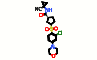 N#CC1(NC(=O)[C@@H]2CC[C@@H](S(=O)(=O)c3ccc(N4CCOCC4)cc3Cl)C2)CC1